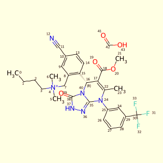 CCCC[N+](C)(C)Cc1cc(C#N)ccc1[C@@H]1C(C(=O)OC)=C(C)N(c2cccc(C(F)(F)F)c2)c2n[nH]c(=O)n21.O=CO